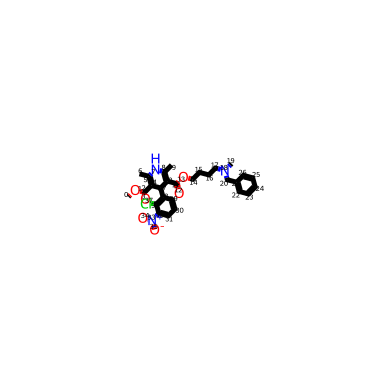 COC(=O)C1=C(C)NC(C)=C(C(=O)OCCCCN(C)Cc2ccccc2)C1c1cccc([N+](=O)[O-])c1Cl